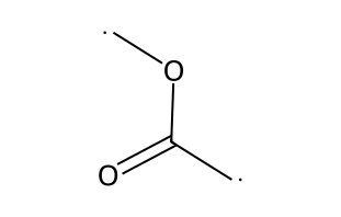 [CH2]OC([CH2])=O